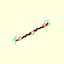 FC(F)(F)COCCCCC=COC=CCCCCOCC(F)(F)F